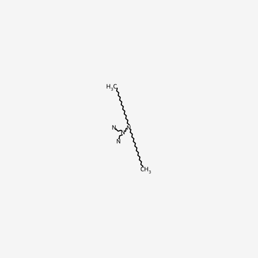 CCCCCCCCCCCCCCCCCCN(CCCCCCCCCCCCCCCCCC)CCN(CCC#N)CCC#N